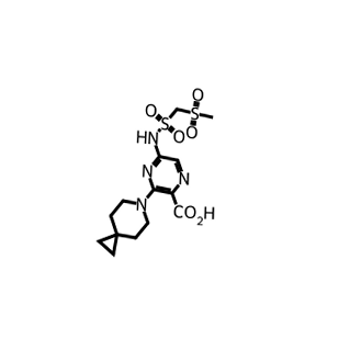 CS(=O)(=O)CS(=O)(=O)Nc1cnc(C(=O)O)c(N2CCC3(CC2)CC3)n1